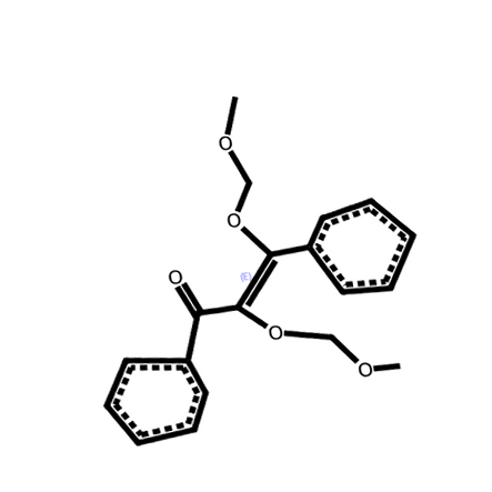 COCO/C(C(=O)c1ccccc1)=C(/OCOC)c1ccccc1